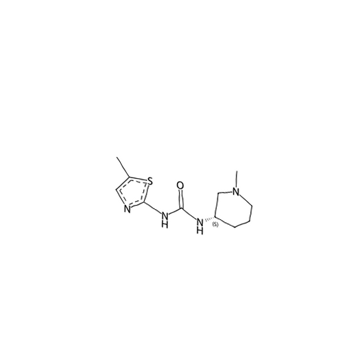 Cc1cnc(NC(=O)N[C@H]2CCCN(C)C2)s1